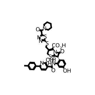 Cc1ccc(-c2ccc(C(=O)Nc3cc(O)ccc3[C@H]3C(=O)N4C(C(=O)O)=C(CSc5nnc(C(=O)N6CCCCC6)s5)CS[C@@H]34)c(O)n2)cc1